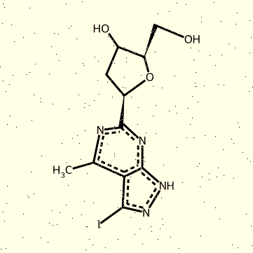 Cc1nc([C@H]2CC(O)[C@@H](CO)O2)nc2[nH]nc(I)c12